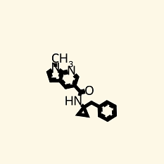 Cn1ccc2cc(C(=O)NC3(Cc4ccccc4)CC3)cnc21